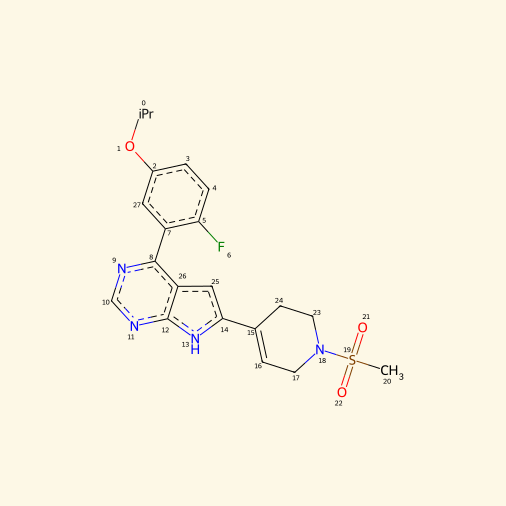 CC(C)Oc1ccc(F)c(-c2ncnc3[nH]c(C4=CCN(S(C)(=O)=O)CC4)cc23)c1